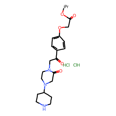 CC(C)OC(=O)COc1ccc(C(=O)CN2CCN(C3CCNCC3)CC2=O)cc1.Cl.Cl